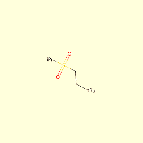 CCCCCCS(=O)(=O)C(C)C